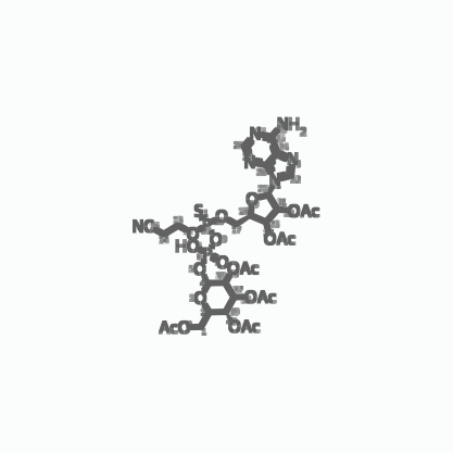 CC(=O)OCC1O[C@@H](OP(=O)(O)OP(=S)(OCCC#N)OC[C@H]2O[C@@H](n3cnc4c(N)ncnc43)C(OC(C)=O)C2OC(C)=O)C(OC(C)=O)C(OC(C)=O)[C@@H]1OC(C)=O